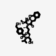 COC(=O)N(C(=O)[C@@H](N)Cc1ccccc1Cl)[C@@H](C)CCC[C@@H](CO)N(C(C)C)S(=O)(=O)c1ccc(CO)cc1